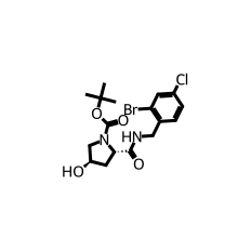 CC(C)(C)OC(=O)N1C[C@H](O)C[C@H]1C(=O)NCc1ccc(Cl)cc1Br